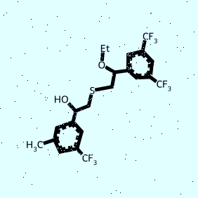 CCOC(CSCC(O)c1cc(C)cc(C(F)(F)F)c1)c1cc(C(F)(F)F)cc(C(F)(F)F)c1